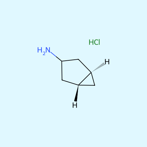 Cl.NC1C[C@H]2C[C@@H]2C1